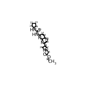 CCOC(=O)Cn1cc(-c2cnc3ccc(NC(=S)NC4CCCC4)nc3n2)cn1